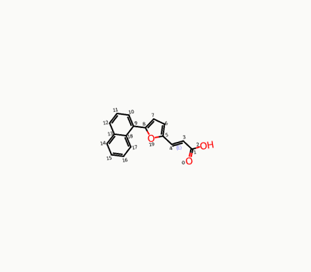 O=C(O)/C=C/c1ccc(-c2cccc3ccccc23)o1